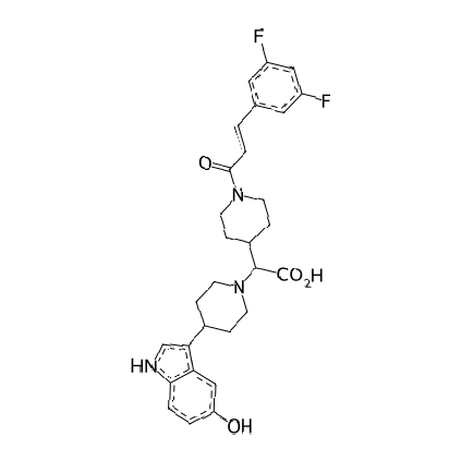 O=C(O)C(C1CCN(C(=O)C=Cc2cc(F)cc(F)c2)CC1)N1CCC(c2c[nH]c3ccc(O)cc23)CC1